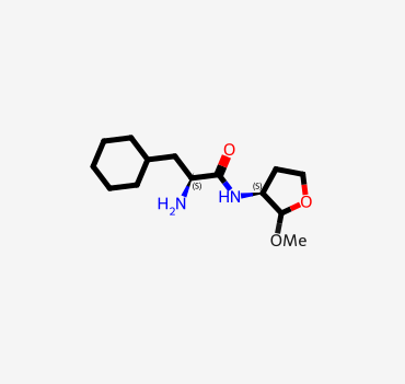 COC1OCC[C@@H]1NC(=O)[C@@H](N)CC1CCCCC1